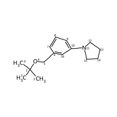 CC(C)(C)OCc1cccc(N2CCCC2)c1